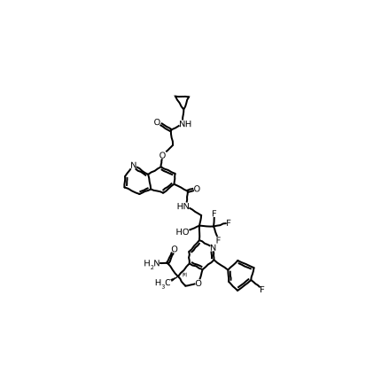 C[C@]1(C(N)=O)COc2c1cc(C(O)(CNC(=O)c1cc(OCC(=O)NC3CC3)c3ncccc3c1)C(F)(F)F)nc2-c1ccc(F)cc1